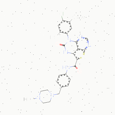 COc1cc(N2C(=O)Nc3c(C(=O)Nc4ccc(CN5CCN(C)CC5)cc4)sc4ncnc2c34)c(C)cc1Cl